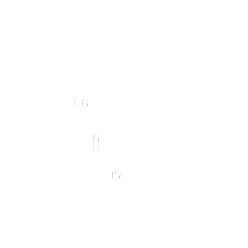 C#CCNc1c(C)[nH]c(/C=C2\C(=O)Nc3ccc(F)cc32)c1C